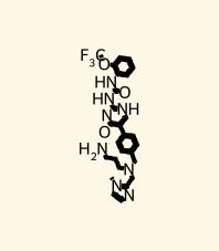 Cn1ccnc1CN(CCCN)Cc1ccc(-c2c[nH]c(NC(=O)Nc3ccccc3OC(F)(F)F)nc2=O)cc1